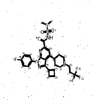 CN(C)S(=O)(=O)NC(=O)c1cc(C2CCN(CCC(F)(F)F)CC2)c2c(C3CCC3)nn(-c3ccc(F)cc3)c2n1